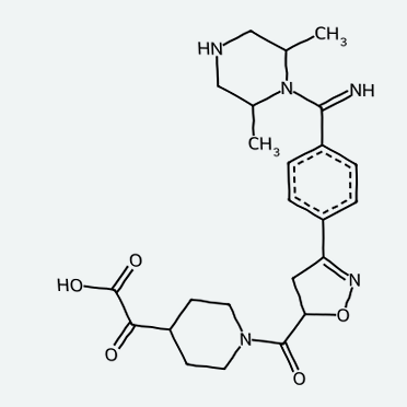 CC1CNCC(C)N1C(=N)c1ccc(C2=NOC(C(=O)N3CCC(C(=O)C(=O)O)CC3)C2)cc1